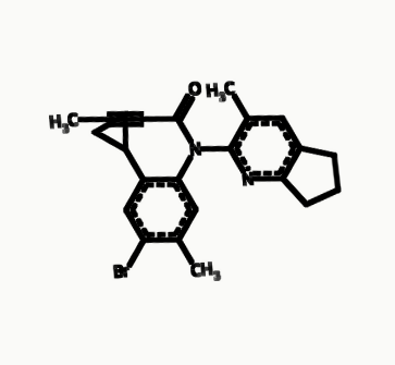 CC#CC(=O)N(c1cc(C)c(Br)cc1C1CC1)c1nc2c(cc1C)CCC2